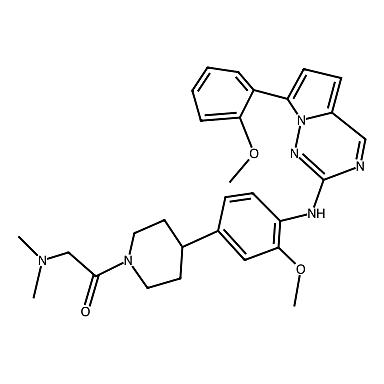 COc1cc(C2CCN(C(=O)CN(C)C)CC2)ccc1Nc1ncc2ccc(-c3ccccc3OC)n2n1